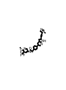 COc1ncc(NC(=O)Cc2ccc(-c3cnc4[nH]c(C#Cc5cncn5C)cc4c3)cc2)cc1C(F)(F)F